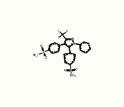 CS(=O)(=O)c1ccc(-c2c(C(F)(F)F)nn(-c3ccccc3)c2-c2ccc(S(N)(=O)=O)cc2)cc1